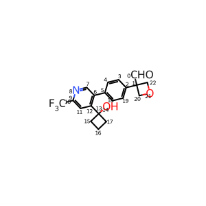 O=CC1(c2ccc(-c3cnc(C(F)(F)F)cc3C3(O)CCC3)cc2)COC1